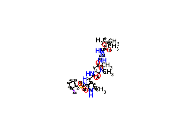 CON(C)C(=O)[C@H](CCONC=NNC(=O)OC(C)(C)C)NC(=O)Cc1cc(C)[nH]c(=O)c1NS(=O)(=O)Cc1ccccc1I